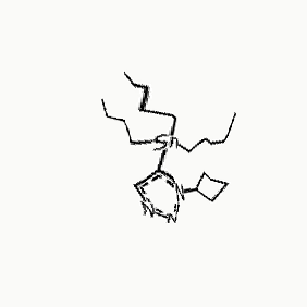 CCC[CH2][Sn]([CH2]CCC)([CH2]CCC)[c]1cnnn1C1CCC1